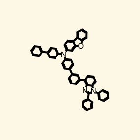 c1ccc(-c2ccc(N(c3ccc(-c4cccc(-c5cccc6c5nc(-c5ccccc5)n6-c5ccccc5)c4)cc3)c3ccc4c(c3)oc3ccccc34)cc2)cc1